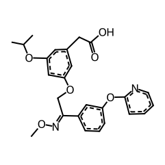 CO/N=C(\COc1cc(CC(=O)O)cc(OC(C)C)c1)c1cccc(Oc2ccccn2)c1